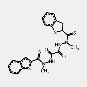 CN(NC(=O)C(=O)NN(C)C(=S)C1Cc2ccccc2S1)C(=S)c1cc2ccccc2s1